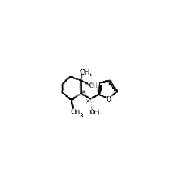 CC1CCCC(C)(C)[C@H]1[C@@H](O)c1ccco1